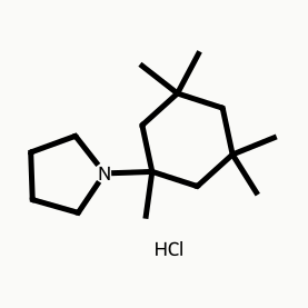 CC1(C)CC(C)(C)CC(C)(N2CCCC2)C1.Cl